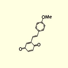 COc1ccc(C=CC2=CC(=O)C=CC2=O)cc1